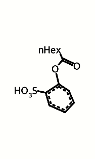 CCCCCCC(=O)Oc1ccccc1S(=O)(=O)O